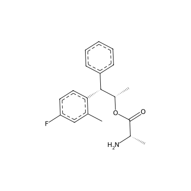 Cc1cc(F)ccc1[C@H](c1ccccc1)[C@H](C)OC(=O)[C@H](C)N